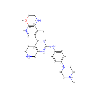 Cc1c(-c2nc(Nc3ccc(N4CCN(C)CC4)cc3)nc3c2CCNC3)cnc2c1NCCO2